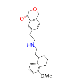 COc1cccc2c1CCCC2CCNCCc1ccc2c(c1)C(=O)COC2